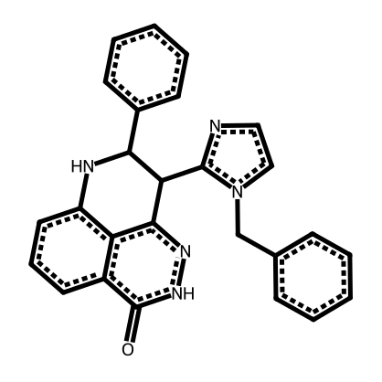 O=c1[nH]nc2c3c(cccc13)NC(c1ccccc1)C2c1nccn1Cc1ccccc1